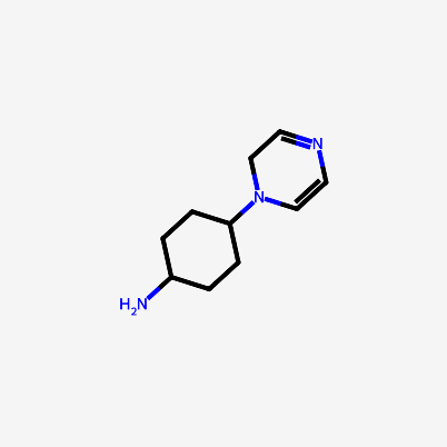 NC1CCC(N2C=CN=CC2)CC1